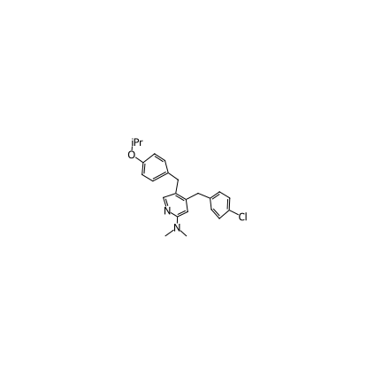 CC(C)Oc1ccc(Cc2cnc(N(C)C)cc2Cc2ccc(Cl)cc2)cc1